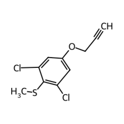 C#CCOc1cc(Cl)c(SC)c(Cl)c1